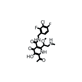 CNCC(OC)c1[nH]c(C(C)=O)c(O)c(=O)c1C(=O)NCc1ccc(F)c(Cl)c1F